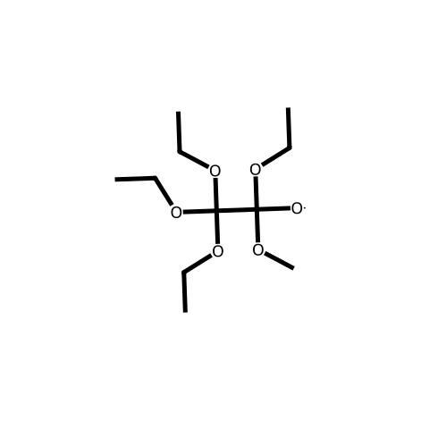 CCOC([O])(OC)C(OCC)(OCC)OCC